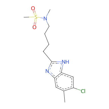 Cc1cc2nc(CCCCN(C)S(C)(=O)=O)[nH]c2cc1Cl